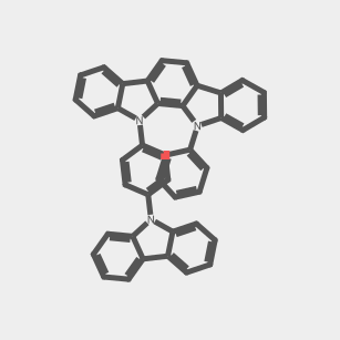 c1ccc(-n2c3ccccc3c3ccc4c5ccccc5n(-c5ccc(-n6c7ccccc7c7ccccc76)cc5)c4c32)cc1